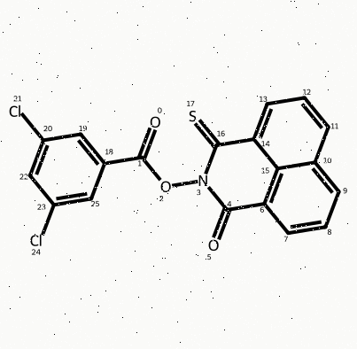 O=C(ON1C(=O)c2cccc3cccc(c23)C1=S)c1cc(Cl)cc(Cl)c1